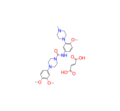 COc1ccc(N2CCN(C(=O)Nc3ccc(OC)c(N4CCN(C)CC4)c3)CC2)cc1OC.O=C(O)/C=C/C(=O)O